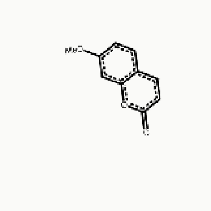 COc1ccc2[c]cc(=O)oc2c1